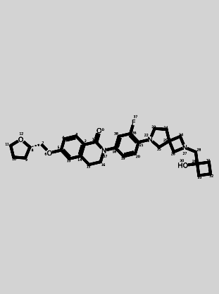 O=C1c2ccc(OC[C@@H]3CCCO3)cc2CCN1c1ccc(N2CCC3(CN(CC4(O)CCC4)C3)C2)c(F)c1